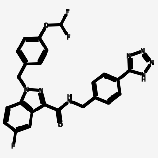 O=C(NCc1ccc(-c2nnn[nH]2)cc1)c1nn(Cc2ccc(OC(F)F)cc2)c2ccc(F)cc12